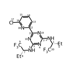 CC[C@@H](Nc1nc(N[C@H](CC)C(F)(F)F)nc(-c2cccc(Cl)n2)n1)C(F)(F)F